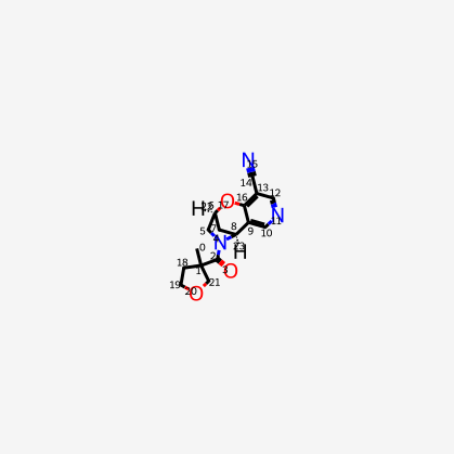 CC1(C(=O)N2C[C@@H]3C[C@H]2c2cncc(C#N)c2O3)CCOC1